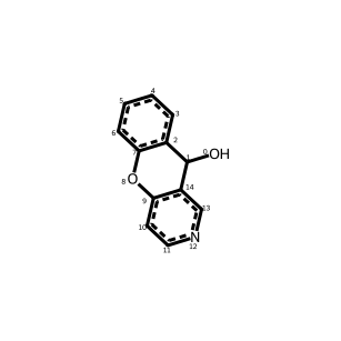 OC1c2ccccc2Oc2ccncc21